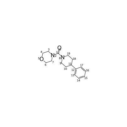 O=C(N1CCOCC1)N1CCC(c2ccccc2)CC1